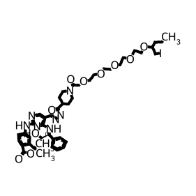 CCCC(CI)OCCOCCOCCOCCOCC(=O)N1CCC(c2nnc(-c3cnc(Nc4ccc5c(c4)C(C)(C)OC5=O)nc3N[C@H](CO)c3ccccc3)o2)CC1